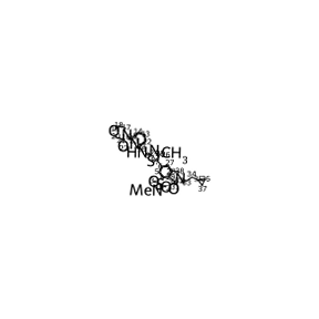 CNS(=O)(=O)c1cc(-c2sc(Nc3cccc(N4CCOCC4=O)n3)nc2C)cc2c1C(=O)N(CCC1CC1)C2